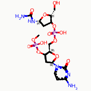 COP(=O)(O)OC1C[C@H](n2ccc(N)nc2=O)O[C@@H]1COP(=O)(O)OC1C[C@H](NC(N)=O)O[C@@H]1CO